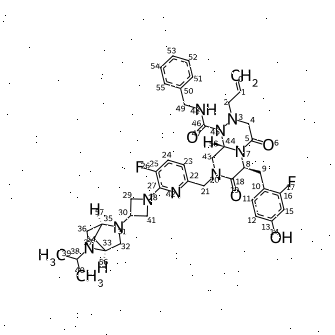 C=CCN1CC(=O)N2[C@@H](Cc3ccc(O)cc3F)C(=O)N(Cc3ccc(F)c(N4CC(N5C[C@@H]6C[C@H]5CN6C(C)C)C4)n3)C[C@@H]2N1C(=O)NCc1ccccc1